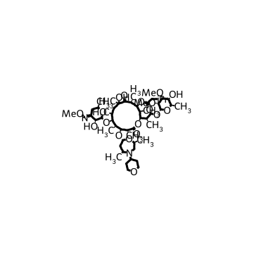 CO/N=C1\C[C@@H](C)O[C@@H](O[C@@H]2[C@@H](C)[C@H](O[C@H]3CC(C)N(C4CCOCC4)C[C@H](C)O3)[C@@H](C)C(=O)O[C@H]([C@@H](C)CO[C@@H]3O[C@H](C)[C@@H](O)[C@@H](OC)[C@H]3OC)[C@H](C)[C@@H](OC(=O)CC(C)C)[C@@H](C)C(=O)[C@@](C)(O)C[C@@H]2C)[C@@H]1O